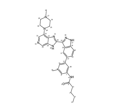 CCCCC(=O)Nc1cc(C)cc(-c2ccc3[nH]nc(-c4nc5c(N6CCN(C)CC6)cncc5[nH]4)c3c2)c1